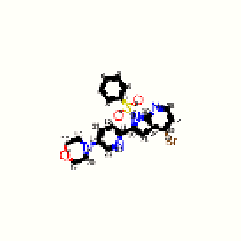 O=S(=O)(c1ccccc1)n1c(-c2ccc(N3CCOCC3)cn2)cc2c(Br)ccnc21